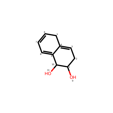 OC1CC=C2CC=CC=C2C1O